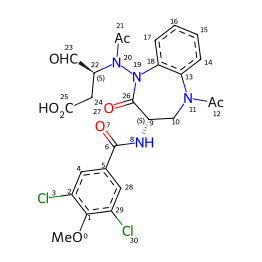 COc1c(Cl)cc(C(=O)N[C@H]2CN(C(C)=O)c3ccccc3N(N(C(C)=O)[C@H](C=O)CC(=O)O)C2=O)cc1Cl